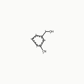 N#Cc1c[c]cc(CO)c1